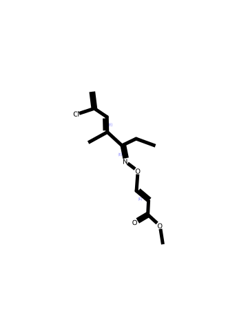 C=C(Cl)/C=C(C)/C(CC)=N/O/C=C/C(=O)OC